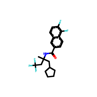 CC(CC1CCCC1)(CC(F)(F)F)NC(=O)c1ccc2c(F)c(F)ccc2c1